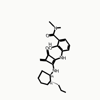 C=C1C(=O)C(Nc2cccc(C(=O)N(C)C)c2O)=C1N[C@@H]1CCCC[C@H]1CCC